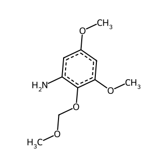 COCOc1c(N)cc(OC)cc1OC